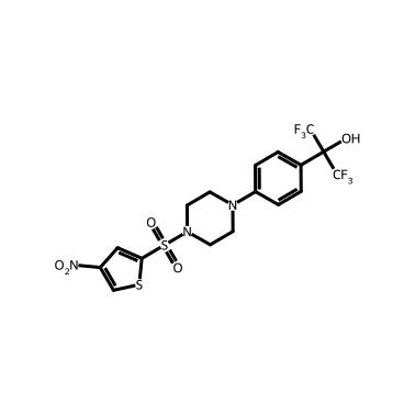 O=[N+]([O-])c1csc(S(=O)(=O)N2CCN(c3ccc(C(O)(C(F)(F)F)C(F)(F)F)cc3)CC2)c1